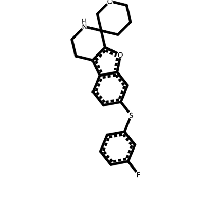 Fc1cccc(Sc2ccc3c4c(oc3c2)C2(CCCOC2)NCC4)c1